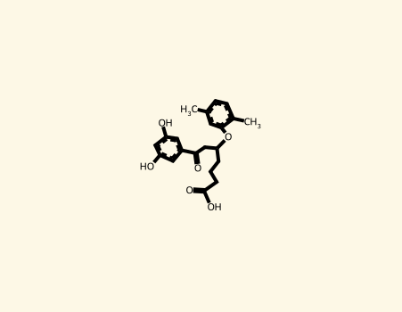 Cc1ccc(C)c(OC(CCCC(=O)O)CC(=O)c2cc(O)cc(O)c2)c1